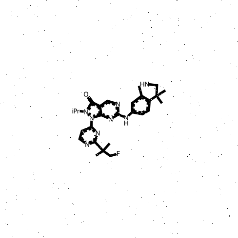 CC(C)n1c(=O)c2cnc(Nc3ccc4c(c3)CNCC4(C)C)nc2n1-c1ccnc(C(C)(C)CF)n1